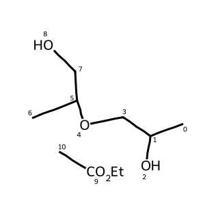 CC(O)COC(C)CO.CCOC(C)=O